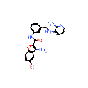 Nc1ncccc1NCc1cccc(NC(=O)c2oc3ccc(Br)cc3c2N)c1